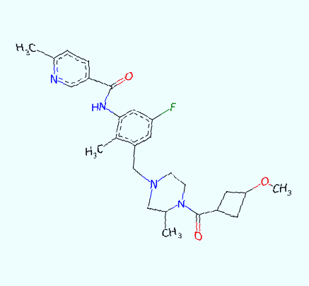 COC1CC(C(=O)N2CCN(Cc3cc(F)cc(NC(=O)c4ccc(C)nc4)c3C)CC2C)C1